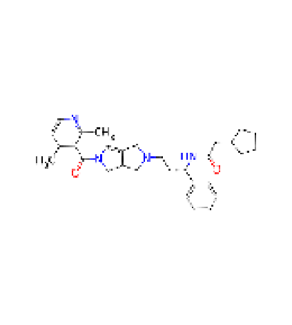 Cc1ccnc(C)c1C(=O)N1C=C2CN(CC[C@H](NC(=O)CC3CCCC3)c3ccccc3)CC2C1